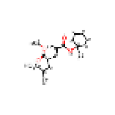 CCCCOC(=O)C(CC(C)C(=O)OC1(CC)CCCCC1)CC(CC)C(=O)O